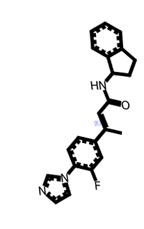 C/C(=C\C(=O)NC1CCc2ccccc21)c1ccc(-n2ccnc2)c(F)c1